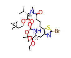 CCOC(=O)[C@H](Cc1nc(Br)sc1CCCC(=O)N(C)[C@H](C(=O)OCC[Si](C)(C)C)C(C)C)NC(=O)OC(C)(C)C